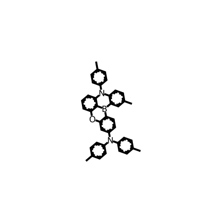 Cc1ccc(N(c2ccc(C)cc2)c2ccc3c(c2)Oc2cccc4c2B3c2cc(C)ccc2N4c2ccc(C)cc2)cc1